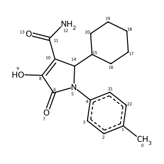 Cc1ccc(N2C(=O)C(O)=C(C(N)=O)C2C2CCCCC2)cc1